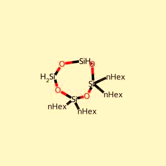 CCCCCC[Si]1(CCCCCC)O[SiH2]O[SiH2]O[Si](CCCCCC)(CCCCCC)O1